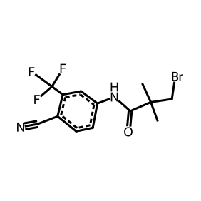 CC(C)(CBr)C(=O)Nc1ccc(C#N)c(C(F)(F)F)c1